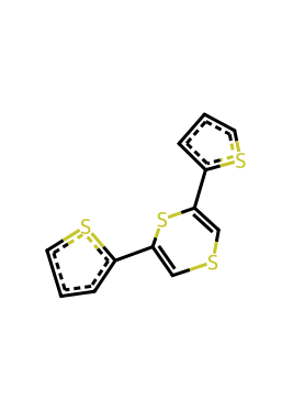 C1=C(c2cccs2)SC(c2cccs2)=CS1